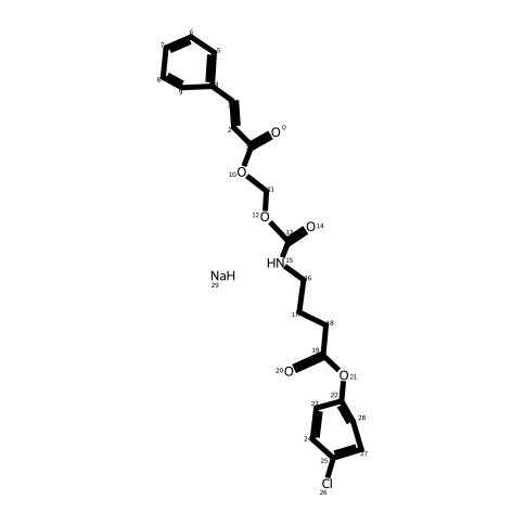 O=C(C=Cc1ccccc1)OCOC(=O)NCCCC(=O)Oc1ccc(Cl)cc1.[NaH]